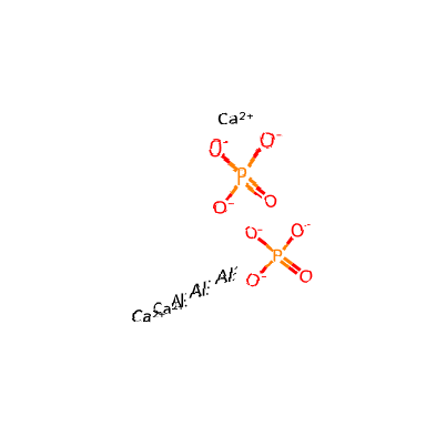 O=P([O-])([O-])[O-].O=P([O-])([O-])[O-].[Al].[Al].[Al].[Ca+2].[Ca+2].[Ca+2]